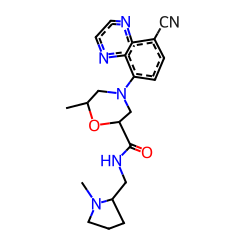 CC1CN(c2ccc(C#N)c3nccnc23)CC(C(=O)NCC2CCCN2C)O1